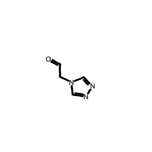 O=CCn1cnnc1